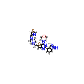 c1cc(-c2nc(N3CCOCC3)c3sc(CN4CCN(Cc5cscn5)CC4)cc3n2)c2cn[nH]c2c1